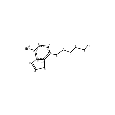 CCCCCCc1ccc(Br)c2c1CC=C2